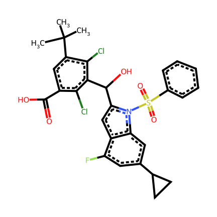 CC(C)(C)c1cc(C(=O)O)c(Cl)c(C(O)c2cc3c(F)cc(C4CC4)cc3n2S(=O)(=O)c2ccccc2)c1Cl